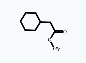 CCCOC(=O)C[C]1CCCCC1